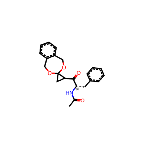 CC(=O)N[C@@H](Cc1ccccc1)C(=O)C1CC12OCc1ccccc1CO2